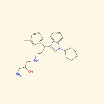 Cc1cccc(C(CCNCC(O)CN)c2cn(C3CCCCC3)c3ccccc23)c1